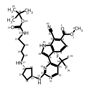 COC(=O)c1ccc2c(-c3nc(N[C@H]4CC[C@H](NCCCCNC(=O)OC(C)(C)C)C4)ncc3C(F)(F)F)c[nH]c2c1C#N